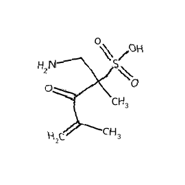 C=C(C)C(=O)C(C)(CN)S(=O)(=O)O